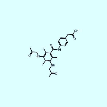 CC(=O)CNc1c(I)c(NCC(C)=O)c(I)c(C(=O)Nc2ccc(CC(=O)O)cc2)c1I